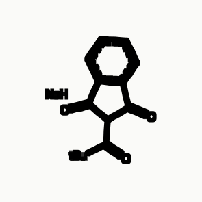 CC(C)(C)C(=O)C1C(=O)c2ccccc2C1=O.[NaH]